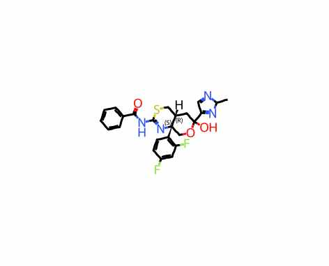 CC1N=CC(C2(O)C[C@H]3CSC(NC(=O)c4ccccc4)=N[C@@]3(c3ccc(F)cc3F)CO2)=N1